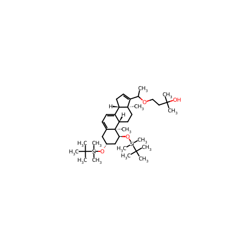 CC(OCCC(C)(C)O)C1=CC[C@H]2C3=CC=C4C[C@@H](O[Si](C)(C)C(C)(C)C)C[C@H](O[Si](C)(C)C(C)(C)C)[C@]4(C)[C@H]3CC[C@]12C